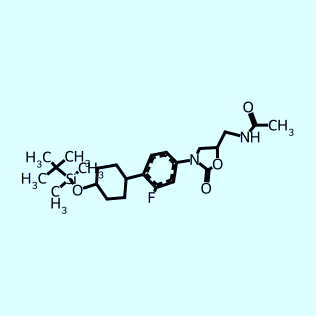 CC(=O)NCC1CN(c2ccc(C3CCC(O[Si](C)(C)C(C)(C)C)CC3)c(F)c2)C(=O)O1